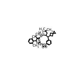 CCc1c2nc(nc1-c1c(C)cccc1C)NS(=O)(=O)c1cccc(c1)C(C1CC3(CC3)C1)C(CC(C)(C)C)CO2